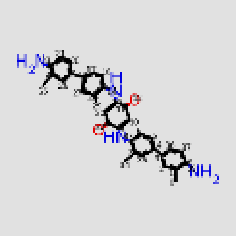 Cc1cc(-c2ccc(NC3=CC(=O)C(Nc4ccc(-c5ccc(N)c(C)c5)cc4C)=CC3=O)c(C)c2)ccc1N